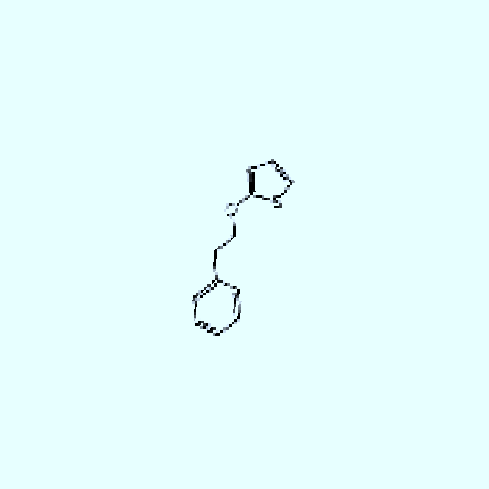 c1ccc(CCOc2cccs2)cc1